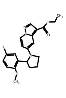 CCOC(=O)c1cnn2ccc(N3CCCC3c3cc(F)ccc3OC)cc12